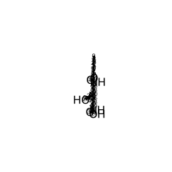 CCCCCCCCCCCOC(=O)NCCCCCCN(CCCO)CCCCCCNC(=O)O